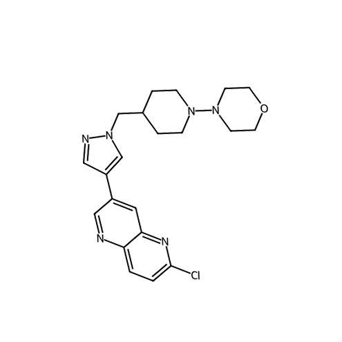 Clc1ccc2ncc(-c3cnn(CC4CCN(N5CCOCC5)CC4)c3)cc2n1